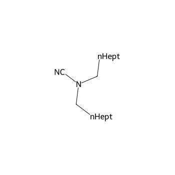 CCCCCCCCN(C#N)CCCCCCCC